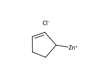 [Cl-].[Zn+][CH]1C=CCC1